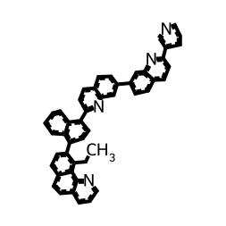 CCc1c(-c2ccc(-c3ccc4ccc(-c5ccc6ccc(-c7cccnc7)nc6c5)cc4n3)c3ccccc23)ccc2ccc3cccnc3c12